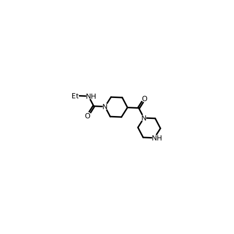 CCNC(=O)N1CCC(C(=O)N2CCNCC2)CC1